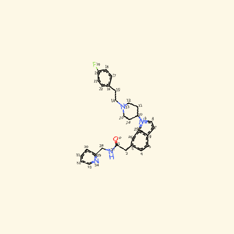 O=C(Cc1ccc2ccn(C3CCN(CCc4ccc(F)cc4)CC3)c2c1)NCc1ccccn1